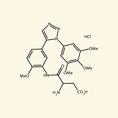 COc1ccc(-c2cnnn2-c2cc(OC)c(OC)c(OC)c2)cc1NC(=O)C(N)CC(=O)O.Cl